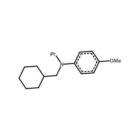 COc1ccc(N(CC2CCCCC2)C(C)C)cc1